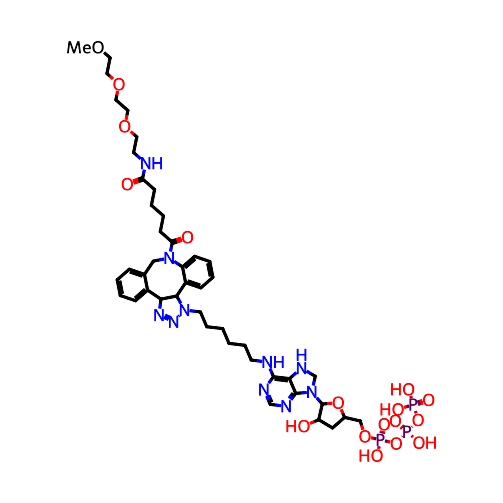 COCCOCCOCCNC(=O)CCCCC(=O)N1Cc2ccccc2C2N=NN(CCCCCCNc3ncnc4c3NCN4C3OC(COP(=O)(O)OP(=O)(O)OP(=O)(O)O)CC3O)C2c2ccccc21